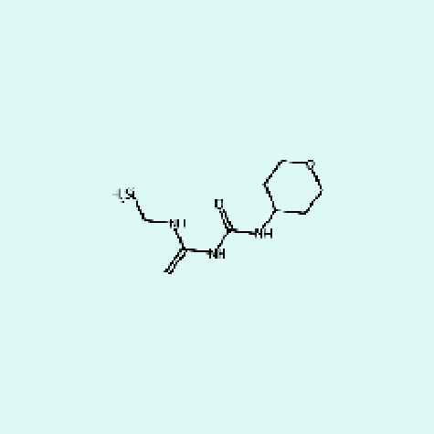 C=C(NC[SiH3])NC(=O)NC1CCOCC1